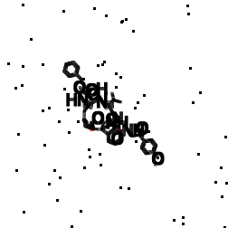 COc1ccc(C(=O)CNC(=O)c2nc3oc2C24c5ccccc5NC2Oc2ccc(cc24)C[C@H](NC(=O)OCc2ccccc2)C(=O)N[C@H]3C(C)C)cc1